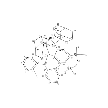 Cc1ccccc1P(Cc1cc([Si](C)(C)C)c([Si](C)(C)C)cc1C(P)(C12CC3CC(CC(C3)C1)C2)C12CC3CC(CC(C3)C1)C2)c1ccccc1C